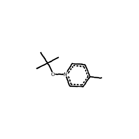 Cc1cc[n+](OC(C)(C)C)cc1